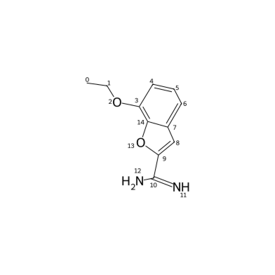 CCOc1cccc2cc(C(=N)N)oc12